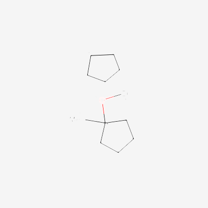 C1CCCC1.CCOC1(SC)CCCC1